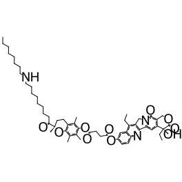 CCCCCCCCNCCCCCCCCC(=O)[C@]1(C)CCc2c(C)c(OC(=O)CCC(=O)Oc3ccc4nc5c(c(CC)c4c3)Cn3c-5cc4c(c3=O)COC(=O)[C@]4(O)CC)c(C)c(C)c2O1